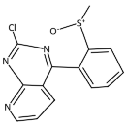 C[S+]([O-])c1ccccc1-c1nc(Cl)nc2ncccc12